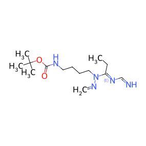 C=NN(CCCCNC(=O)OC(C)(C)C)/C(CC)=N/C=N